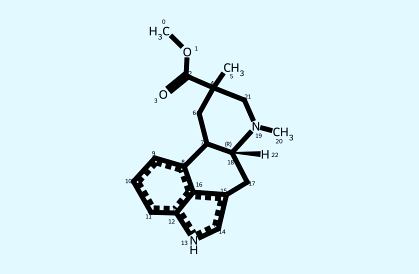 COC(=O)C1(C)CC2c3cccc4[nH]cc(c34)C[C@H]2N(C)C1